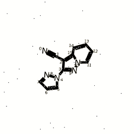 N#Cc1c(-n2cccn2)nn2ccccc12